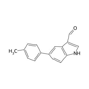 Cc1ccc(-c2ccc3[nH]cc(C=O)c3c2)cc1